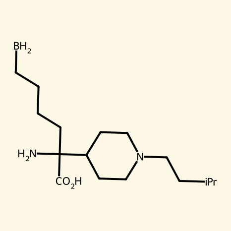 BCCCCC(N)(C(=O)O)C1CCN(CCC(C)C)CC1